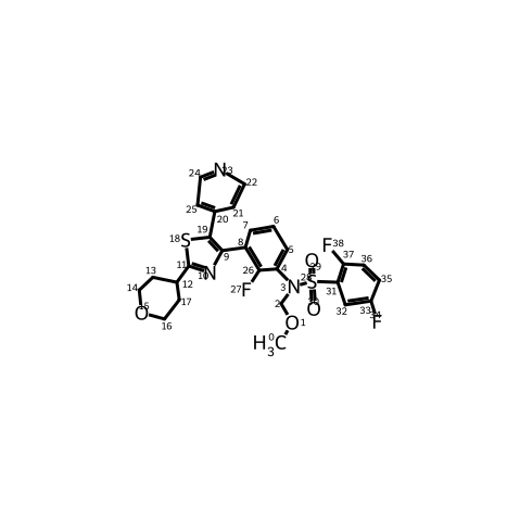 COCN(c1cccc(-c2nc(C3CCOCC3)sc2-c2ccncc2)c1F)S(=O)(=O)c1cc(F)ccc1F